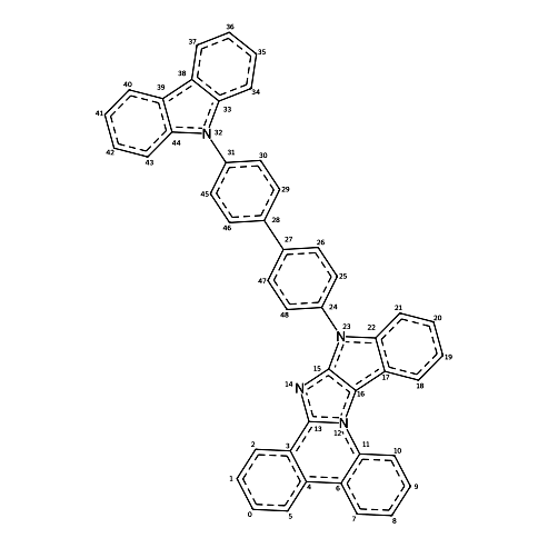 c1ccc2c(c1)c1ccccc1n1c2nc2c1c1ccccc1n2-c1ccc(-c2ccc(-n3c4ccccc4c4ccccc43)cc2)cc1